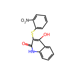 O=c1[nH]c2ccccc2c(O)c1Sc1ccccc1[N+](=O)[O-]